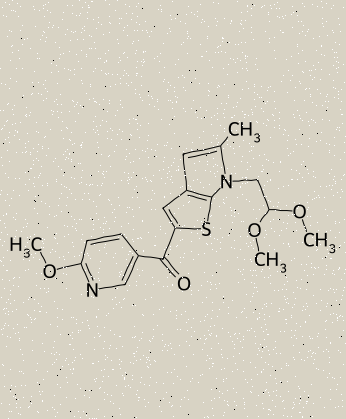 COc1ccc(C(=O)c2cc3cc(C)n(CC(OC)OC)c3s2)cn1